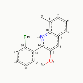 COc1cc2cccc(C)c2nc1-c1ccccc1F